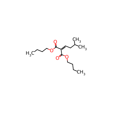 CCCCOC(=O)C(=CCC(C)C)C(=O)OCCCC